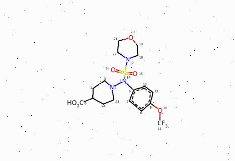 O=C(O)C1CCN(N(c2ccc(OC(F)(F)F)cc2)S(=O)(=O)N2CCOCC2)CC1